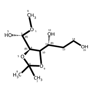 CO[C@@H](O)[C@@H]1OC(C)(C)OC1[C@H](O)CCO